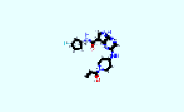 C=CC(=O)N1CCC(Nc2cnc3[nH]cc(C(=O)N[C@H]4CC[C@H](F)C4)c3n2)CC1